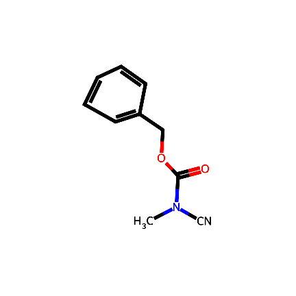 CN(C#N)C(=O)OCc1ccccc1